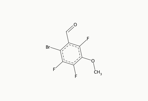 COc1c(F)c(F)c(Br)c(C=O)c1F